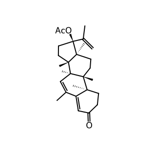 C=C(C)[C@@]1(OC(C)=O)CC[C@@]2(C)[C@]3(C)C=C(C)C4=CC(=O)CC[C@]4(C)[C@@]3(C)CC[C@@]21C